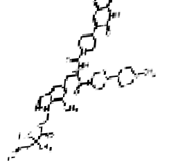 C=CCC(C)(C)C(=O)OCn1ncc2cc(C[C@@H](NC(=O)N3CCC(c4cc5ccccc5[nH]c4=O)CC3)C(=O)N3CCN(C4CCN(C)CC4)CC3)cc(C)c21